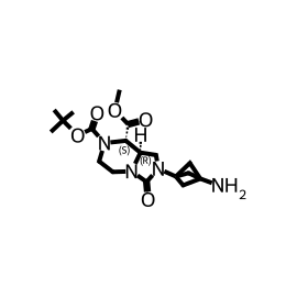 COC(=O)[C@@H]1[C@H]2CN(C34CC(N)(C3)C4)C(=O)N2CCN1C(=O)OC(C)(C)C